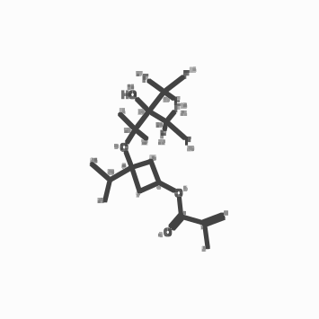 C=C(C)C(=O)OC1CC(OC(C)(C)C(O)(C(F)(F)F)C(F)(F)F)(C(C)C)C1